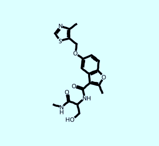 CNC(=O)C(CO)NC(=O)c1c(C)oc2ccc(OCc3scnc3C)cc12